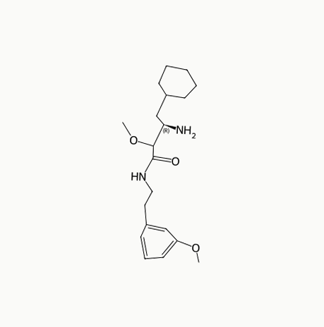 COc1cccc(CCNC(=O)C(OC)[C@H](N)CC2CCCCC2)c1